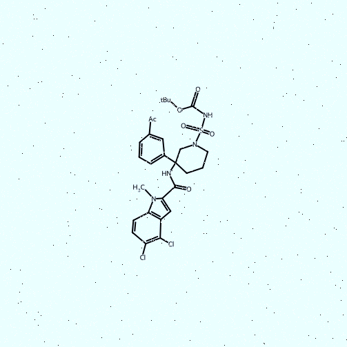 CC(=O)c1cccc(C2(NC(=O)c3cc4c(Cl)c(Cl)ccc4n3C)CCCN(S(=O)(=O)NC(=O)OC(C)(C)C)C2)c1